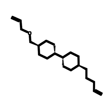 C=CCCC[C@H]1CC[C@H]([C@H]2CC[C@H](COCC=C)CC2)CC1